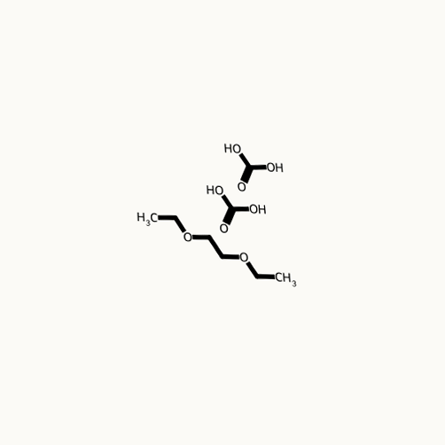 CCOCCOCC.O=C(O)O.O=C(O)O